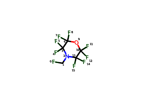 FCN1C(F)(F)C(F)(F)OC(F)(F)C1(F)F